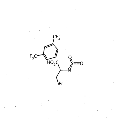 CC(C)CC(N=S(=O)=O)C(=O)O.FC(F)(F)c1cccc(C(F)(F)F)c1